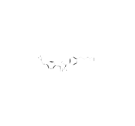 OCCCc1ccc(-c2nnc(-c3ccc(CC4CO4)cc3)s2)cc1